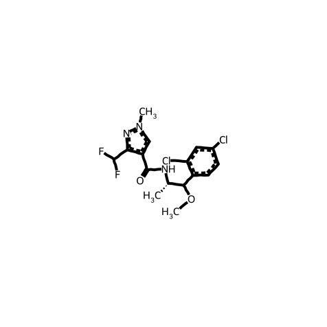 COC(c1ccc(Cl)cc1Cl)[C@H](C)NC(=O)c1cn(C)nc1C(F)F